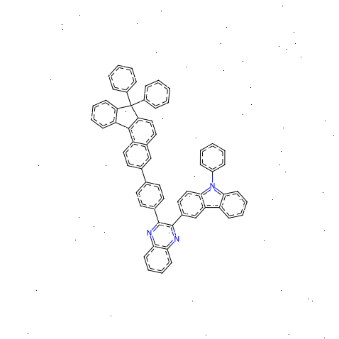 c1ccc(-n2c3ccccc3c3cc(-c4nc5ccccc5nc4-c4ccc(-c5ccc6c7c(ccc6c5)C(c5ccccc5)(c5ccccc5)c5ccccc5-7)cc4)ccc32)cc1